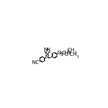 CN(C)OOSOc1ccc(CN(c2ccc(C#N)cc2)n2cnnc2)cc1